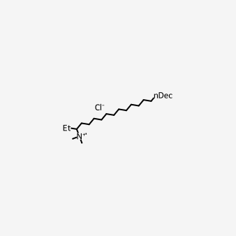 CCCCCCCCCCCCCCCCCCCCCCC(CC)[N+](C)(C)C.[Cl-]